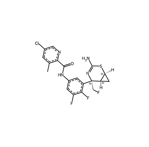 Cc1cc(Cl)cnc1C(=O)Nc1cc(F)c(F)c([C@@]2(CF)N=C(N)S[C@H]3C[C@H]32)c1